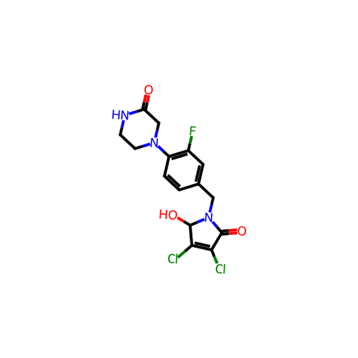 O=C1CN(c2ccc(CN3C(=O)C(Cl)=C(Cl)C3O)cc2F)CCN1